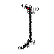 CC1=CC2CC1C(C(=O)N(C=O)CCC(=O)NCCOCCOCCOCCOCCOCCOCCOCCOCCC(=O)NC(C(=O)NCC(=O)Nc1ccc(CN=O)cc1)C(C)C)C2C